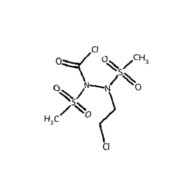 CS(=O)(=O)N(CCCl)N(C(=O)Cl)S(C)(=O)=O